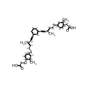 CC(C#Cc1cccc(C#CC(C)=CCSc2ccc(OCC(=O)O)c(C)c2)c1)=CCSc1ccc(CC(=O)O)c(C)c1